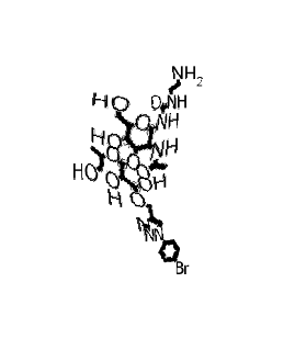 CC(=O)NC1C(O[C@H](OC(C)CO)C(O)[C@@H](O)OCc2cn(-c3ccc(Br)cc3)nn2)[C@H](O)C(CO)O[C@H]1NC(=O)NCCN